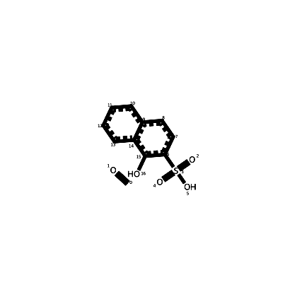 C=O.O=S(=O)(O)c1ccc2ccccc2c1O